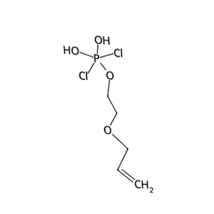 C=CCOCCOP(O)(O)(Cl)Cl